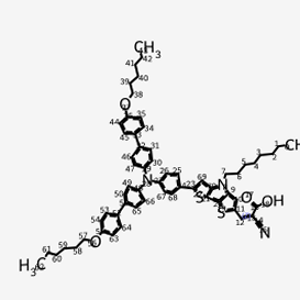 CCCCCCCCn1c2cc(/C=C(/C#N)C(=O)O)sc2c2sc(-c3ccc(N(c4ccc(-c5ccc(OCCCCCC)cc5)cc4)c4ccc(-c5ccc(OCCCCCC)cc5)cc4)cc3)cc21